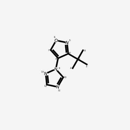 CC(C)(C)c1nocc1-n1cncn1